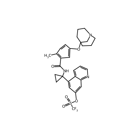 Cc1ccc(OC23CCCN(CCC2)C3)cc1C(=O)NC1(c2cc(OS(=O)(=O)C(F)(F)F)cc3ncccc23)CC1